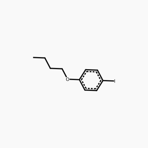 CCCCOc1ccc(I)cc1